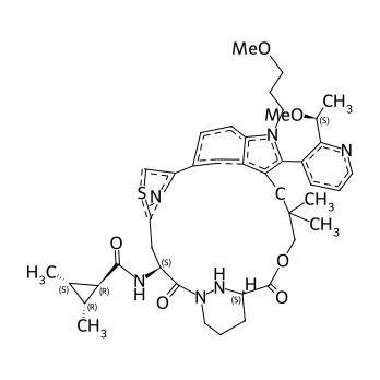 COCCCn1c(-c2cccnc2[C@H](C)OC)c2c3cc(ccc31)-c1csc(n1)C[C@H](NC(=O)[C@H]1[C@H](C)[C@@H]1C)C(=O)N1CCC[C@H](N1)C(=O)OCC(C)(C)C2